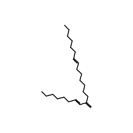 C=C(C=CCCCCCC)CCCCCCC=CCCCCCC